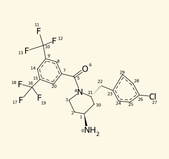 N[C@H]1CCN(C(=O)c2cc(C(F)(F)F)cc(C(F)(F)F)c2)[C@H](Cc2ccc(Cl)cc2)C1